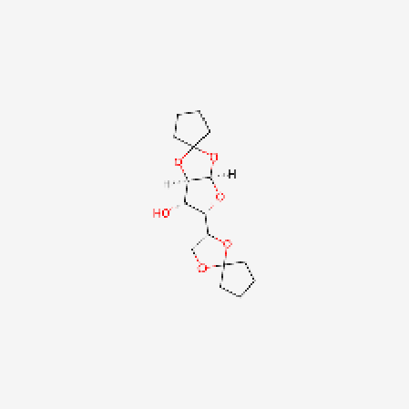 O[C@@H]1[C@H]2OC3(CCCC3)O[C@H]2O[C@@H]1[C@H]1COC2(CCCC2)O1